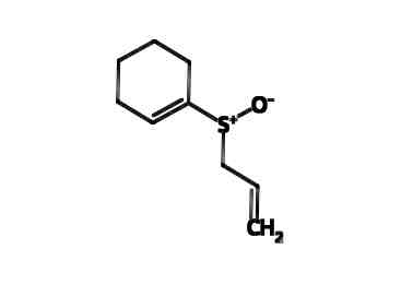 C=CC[S+]([O-])C1=CCCCC1